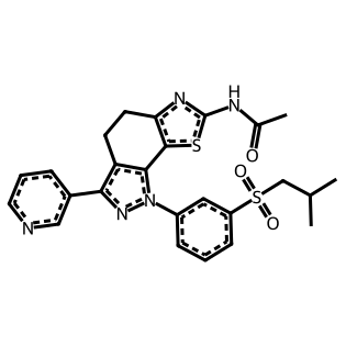 CC(=O)Nc1nc2c(s1)-c1c(c(-c3cccnc3)nn1-c1cccc(S(=O)(=O)CC(C)C)c1)CC2